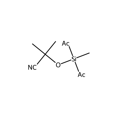 CC(=O)[Si](C)(OC(C)(C)C#N)C(C)=O